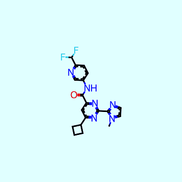 Cn1ccnc1-c1nc(C(=O)Nc2ccc(C(F)F)nc2)cc(C2CCC2)n1